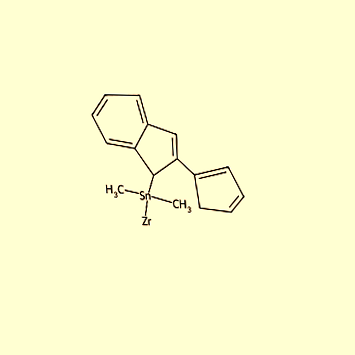 [CH3][Sn]([CH3])([Zr])[CH]1C(C2=CC=CC2)=Cc2ccccc21